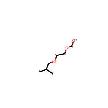 CC(C)COCCOC[O]